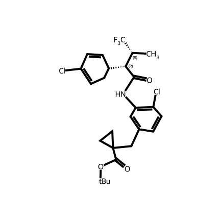 C[C@H]([C@H](C(=O)Nc1cc(CC2(C(=O)OC(C)(C)C)CC2)ccc1Cl)C1C=CC(Cl)=CC1)C(F)(F)F